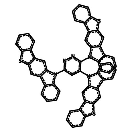 c1ccc2c(c1)sc1cc3c4ccccc4n(-c4cc(-n5c6ccccc6c6cc7sc8ccccc8c7cc65)c(-n5c6ccccc6c6cc7sc8ccccc8c7cc65)nn4)c3cc12